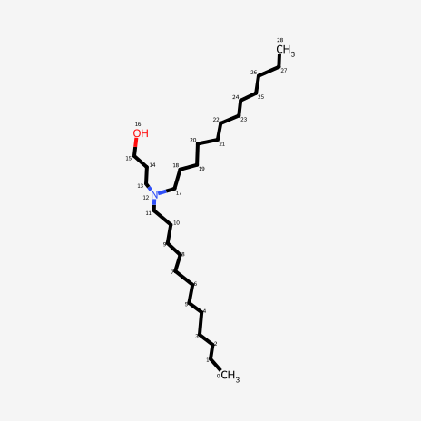 CCCCCCCCCCCCN(CCCO)CCCCCCCCCCCC